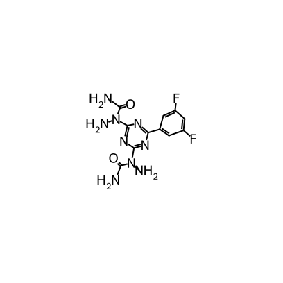 NC(=O)N(N)c1nc(-c2cc(F)cc(F)c2)nc(N(N)C(N)=O)n1